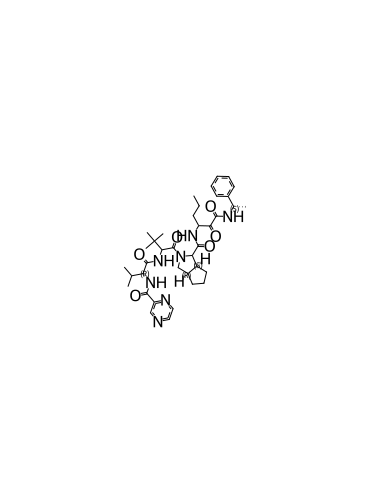 CCCC(NC(=O)C1[C@H]2CCC[C@H]2CN1C(=O)C(NC(=O)[C@H](NC(=O)c1cnccn1)C(C)C)C(C)(C)C)C(=O)C(=O)N[C@@H](C)c1ccccc1